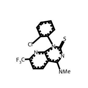 CNc1nc(=S)n(-c2ccccc2Cl)c2nc(C(F)(F)F)ccc12